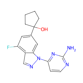 Nc1nccc(-n2ncc3c(F)cc(C4(O)CCCC4)cc32)n1